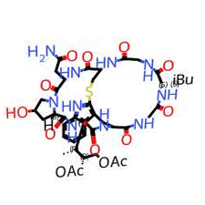 CC[C@H](C)[C@@H]1NC(=O)CNC(=O)C2Cc3c([nH]c4ccccc34)SCC(NC(=O)CNC1=O)C(=O)NC(CC(N)=O)C(=O)N1CC(O)C[C@H]1C(=O)N[C@@H]([C@@H](C)[C@H](COC(C)=O)OC(C)=O)C(=O)N2